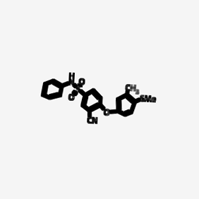 CSc1ccc(Oc2ccc(S(=O)(=O)Nc3ccccc3)cc2C#N)cc1C